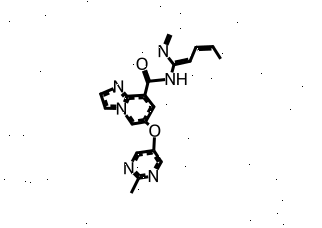 C=N/C(=C\C=C/C)NC(=O)c1cc(Oc2cnc(C)nc2)cn2ccnc12